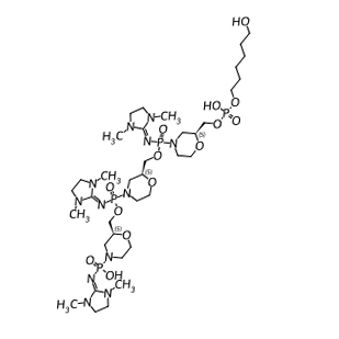 CN1CCN(C)C1=NP(=O)(O)N1CCO[C@H](COP(=O)(N=C2N(C)CCN2C)N2CCO[C@H](COP(=O)(N=C3N(C)CCN3C)N3CCO[C@H](COP(=O)(O)OCCCCCCO)C3)C2)C1